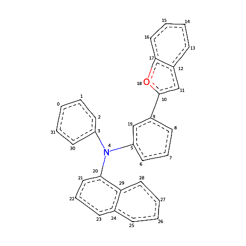 c1ccc(N(c2cccc(-c3cc4ccccc4o3)c2)c2cccc3ccccc23)cc1